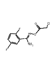 N/C(=N\OC(=O)CCl)c1cc(F)ccc1F